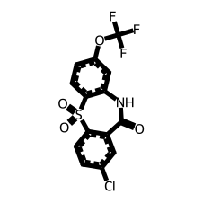 O=C1Nc2cc(OC(F)(F)F)ccc2S(=O)(=O)c2ccc(Cl)cc21